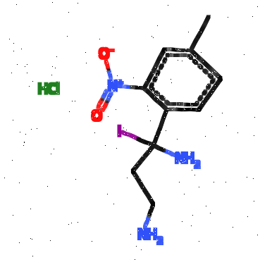 Cc1ccc(C(N)(I)CCN)c([N+](=O)[O-])c1.Cl